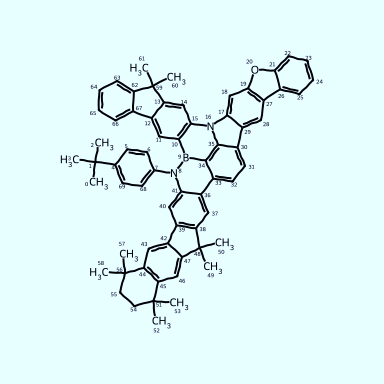 CC(C)(C)c1ccc(N2B3c4cc5c(cc4-n4c6cc7oc8ccccc8c7cc6c6ccc(c3c64)-c3cc4c(cc32)-c2cc3c(cc2C4(C)C)C(C)(C)CCC3(C)C)C(C)(C)c2ccccc2-5)cc1